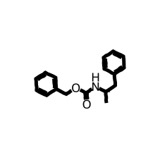 C[C](Cc1ccccc1)NC(=O)OCc1ccccc1